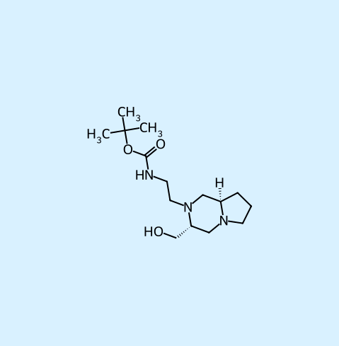 CC(C)(C)OC(=O)NCCN1C[C@H]2CCCN2C[C@@H]1CO